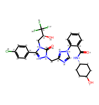 O=C(N[C@H]1CC[C@H](O)CC1)c1ccccc1-n1cnc(Cn2nc(-c3ccc(Cl)cc3)n(C[C@H](O)C(F)(F)F)c2=O)n1